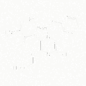 CCc1c(C(=O)C(N)=O)c2c(OCC(=O)O)nc(C)cn2c1Cc1ccccc1